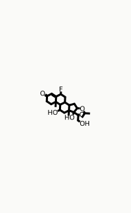 CC(C)OC1CC2C3CC(F)C4=CC(=O)CCC4(C)C3C(O)CC2(C)C1(O)C(=O)CO